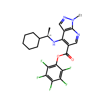 CCn1ncc2c(N[C@H](C)C3CCCCC3)c(C(=O)Oc3c(F)c(F)c(F)c(F)c3F)cnc21